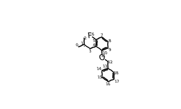 C[C](C)Cc1c(F)cccc1OCc1ccccc1